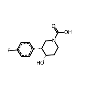 O=C(O)N1CC[C@H](O)[C@H](c2ccc(F)cc2)C1